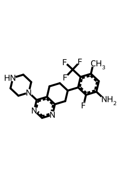 Cc1cc(N)c(F)c(C2CCc3c(ncnc3N3CCNCC3)C2)c1C(F)(F)F